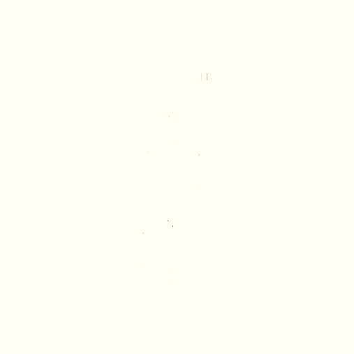 CCOc1ccc(N2CCOCC2)cc1